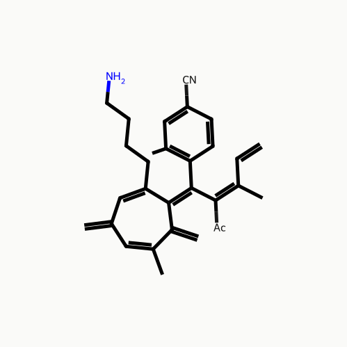 C=C/C(C)=C(C(C)=O)\C(=C1/C(=C)C(C)=CC(=C)C=C1CCCCN)c1ccc(C#N)cc1C